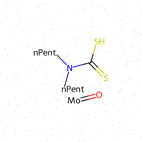 CCCCCN(CCCCC)C(=S)S.[O]=[Mo]